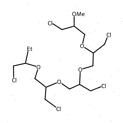 CCC(CCl)OCC(CCl)OCC(CCl)OCC(CCl)OCC(CCl)OC